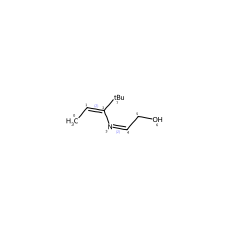 C/C=C(\N=C/CO)C(C)(C)C